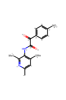 CSc1cc(C)nc(SC)c1NC(=O)C(=O)c1ccc([N+](=O)[O-])cc1